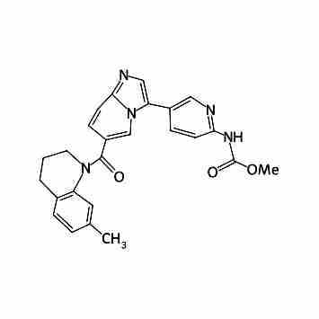 COC(=O)Nc1ccc(-c2cnc3ccc(C(=O)N4CCCc5ccc(C)cc54)cn23)cn1